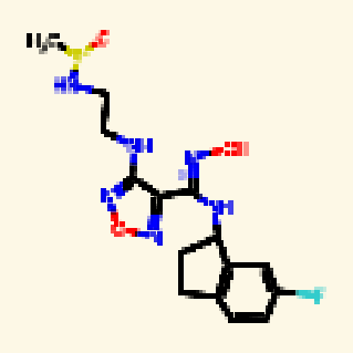 C[S+]([O-])NCCNc1nonc1/C(=N/O)NC1CCc2ccc(F)cc21